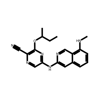 CCC(C)Oc1nc(Nc2cc3cccc(NC)c3cn2)cnc1C#N